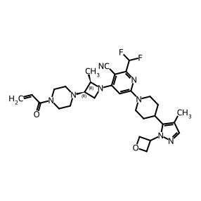 C=CC(=O)N1CCN([C@@H]2CN(c3cc(N4CCC(c5c(C)cnn5C5COC5)CC4)nc(C(F)F)c3C#N)[C@@H]2C)CC1